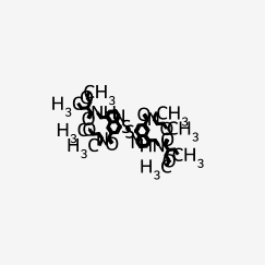 CCC(COC)C(=O)NCc1ccnc2c(SSc3cc(C(=O)N(CC)CCOC)cc4c(CNC(=O)C(CC)COC)ccnc34)cc(C(=O)N(CC)CCOC)cc12